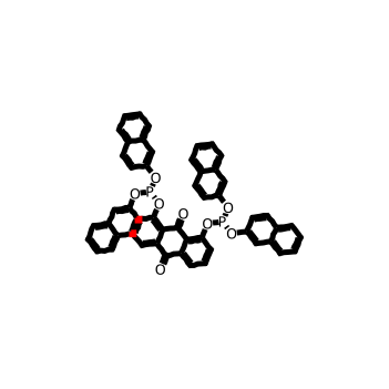 O=C1c2cccc(OP(Oc3ccc4ccccc4c3)Oc3ccc4ccccc4c3)c2C(=O)c2c(OP(Oc3ccc4ccccc4c3)Oc3ccc4ccccc4c3)cccc21